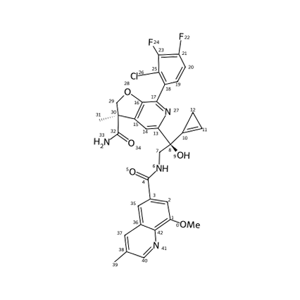 COc1cc(C(=O)NC[C@@](O)(C2=CC2)c2cc3c(c(-c4ccc(F)c(F)c4Cl)n2)OC[C@]3(C)C(N)=O)cc2cc(C)cnc12